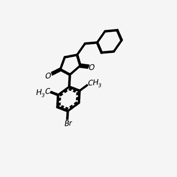 Cc1cc(Br)cc(C)c1C1C(=O)CC(CC2CCCCC2)C1=O